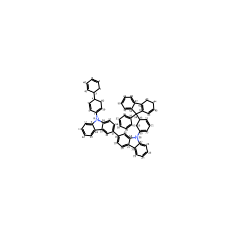 C1=CCC(C2C=CC(n3c4ccccc4c4cc(-c5ccc6c7ccccc7n(C7=CC=CC(C8(c9ccccc9)C9=C(CCC=C9)c9ccccc98)C7)c6c5)ccc43)=CC2)C=C1